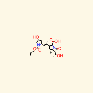 C=CCOC(=O)N1C[C@H](O)C[C@H]1C=C(C)C1=C(C(=O)O)N2C(=O)[C@H]([C@@H](C)O)[C@H]2C1